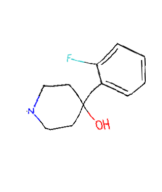 OC1(c2ccccc2F)CC[N]CC1